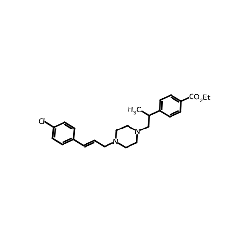 CCOC(=O)c1ccc(C(C)CN2CCN(CC=Cc3ccc(Cl)cc3)CC2)cc1